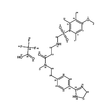 COc1cc(C)c(S(=O)(=O)CNCCC(=O)N(C)CCc2ccc(C3=NCCN3)cc2)c(C)c1C.O=C(O)C(F)(F)F